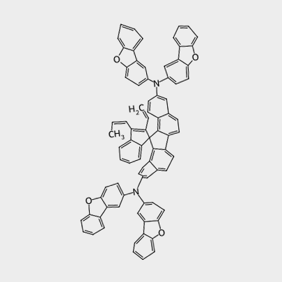 C=CC1=C(/C=C\C)c2ccccc2C12c1c(ccc3cc(N(c4ccc5oc6ccccc6c5c4)c4ccc5oc6ccccc6c5c4)ccc13)-c1ccc3cc(N(c4ccc5oc6ccccc6c5c4)c4ccc5oc6ccccc6c5c4)ccc3c12